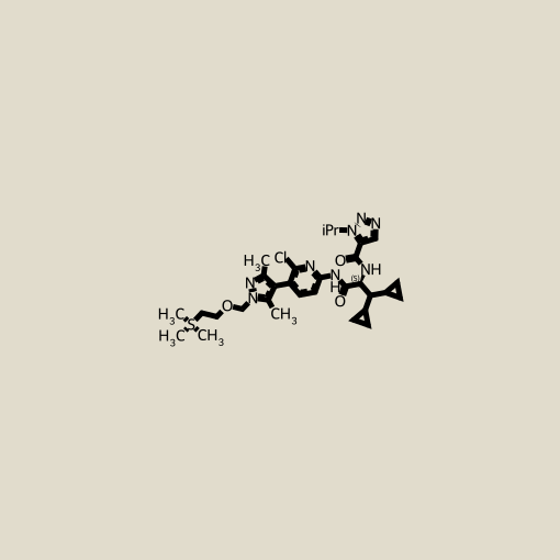 Cc1nn(COCCS(C)(C)C)c(C)c1-c1ccc(NC(=O)[C@@H](NC(=O)c2cnnn2C(C)C)C(C2CC2)C2CC2)nc1Cl